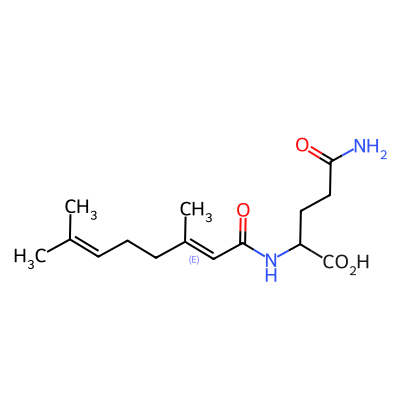 CC(C)=CCC/C(C)=C/C(=O)NC(CCC(N)=O)C(=O)O